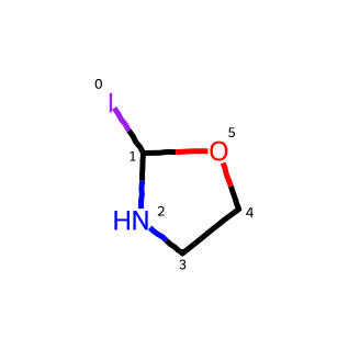 IC1NCCO1